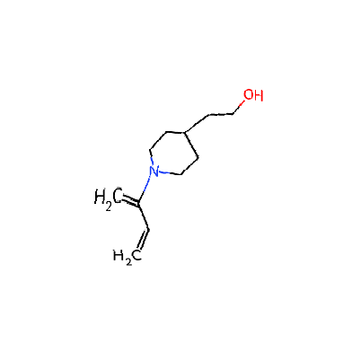 C=CC(=C)N1CCC(CCO)CC1